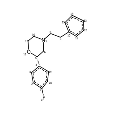 Fc1ccc([C@H]2CN(CCc3ccccc3)CCO2)cc1